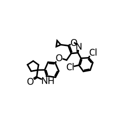 O=C1Nc2ccc(OCc3c(-c4c(Cl)cccc4Cl)noc3C3CC3)cc2C12CCCC2